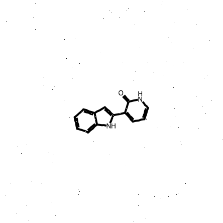 O=c1[nH]c[c]cc1-c1cc2ccccc2[nH]1